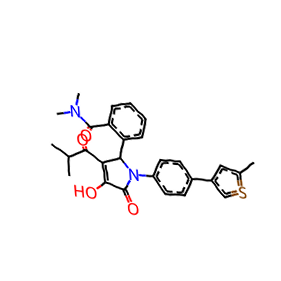 Cc1cc(-c2ccc(N3C(=O)C(O)=C(C(=O)C(C)C)C3c3ccccc3C(=O)N(C)C)cc2)cs1